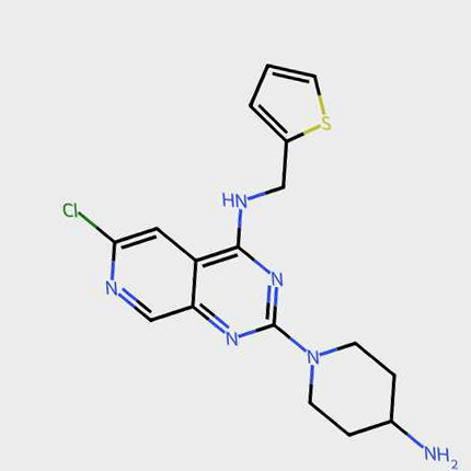 NC1CCN(c2nc(NCc3cccs3)c3cc(Cl)ncc3n2)CC1